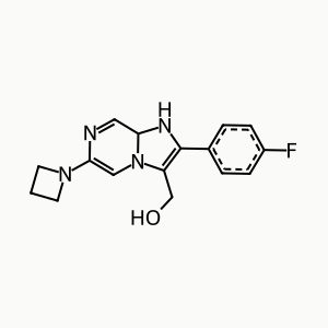 OCC1=C(c2ccc(F)cc2)NC2C=NC(N3CCC3)=CN12